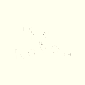 CNCCN(C)Cc1nc(-c2ccc(OC(F)(F)F)cc2)sc1-c1ccc(OC)cc1